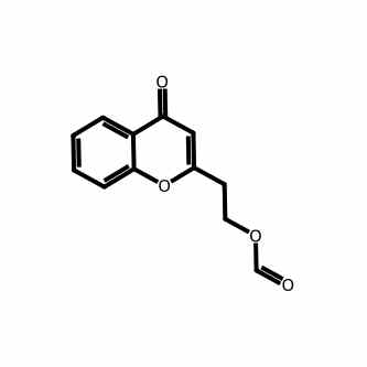 O=COCCc1cc(=O)c2ccccc2o1